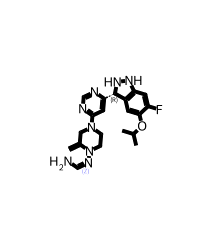 C=C1CN(c2cc([C@@H]3NNc4cc(F)c(OC(C)C)cc43)ncn2)CCN1/N=C\N